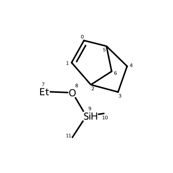 C1=CC2CCC1C2.CCO[SiH](C)C